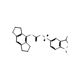 O=C(Nc1c2c(cc3c1CCC3)CCC2)NS(=O)(=O)c1ccc2c(c1)C(O)OB2O